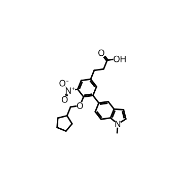 Cn1ccc2cc(-c3cc(CCC(=O)O)cc([N+](=O)[O-])c3OCC3CCCC3)ccc21